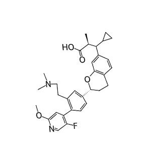 COc1cc(-c2ccc([C@H]3CCc4ccc(C(C5CC5)[C@H](C)C(=O)O)cc4O3)cc2CCN(C)C)c(F)cn1